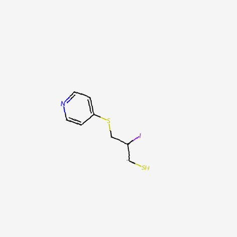 S[CH]C(I)CSc1ccncc1